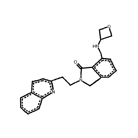 O=C1c2c(cccc2NC2COC2)CN1CCc1ccc2ccccc2n1